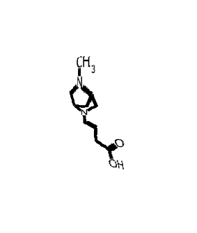 CN1CC2CC1CN2/C=C/CC(=O)O